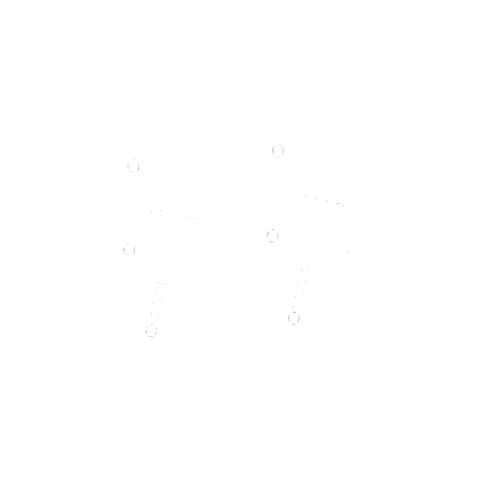 CC1=C(C)C(=O)OC1=O.CC1=C(C)C(=O)OC1=O